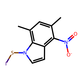 Cc1cc(C)c2c(ccn2SI)c1[N+](=O)[O-]